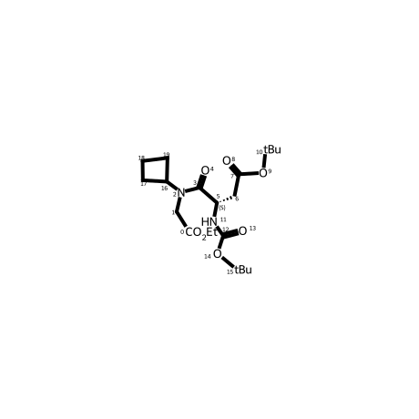 CCOC(=O)CN(C(=O)[C@H](CC(=O)OC(C)(C)C)NC(=O)OC(C)(C)C)C1CCC1